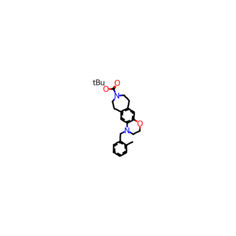 Cc1ccccc1CN1CCOc2cc3c(cc21)CCN(C(=O)OC(C)(C)C)CC3